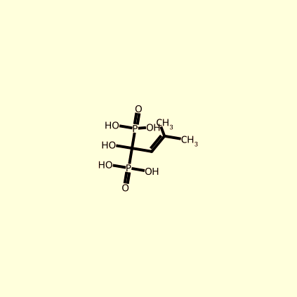 CC(C)=CC(O)(P(=O)(O)O)P(=O)(O)O